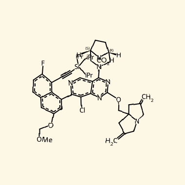 C=C1CN2CC(=C)CC2(COc2nc(N3C[C@H]4CC[C@@H](C3)N4C(=O)O)c3cnc(-c4cc(OCOC)cc5ccc(F)c(C#C[Si](C(C)C)(C(C)C)C(C)C)c45)c(Cl)c3n2)C1